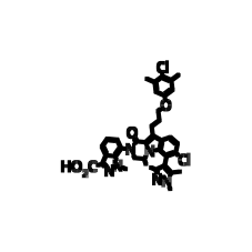 Cc1cc(OCCCc2c3n(c4c(-c5c(C)nn(C)c5C)c(Cl)ccc24)C(C)CN(c2cccc4c(C(=O)O)nn(C)c24)C3=O)cc(C)c1Cl